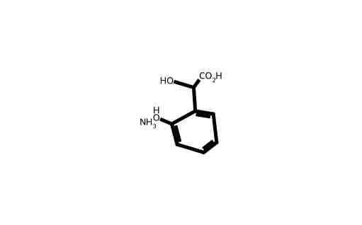 N.O=C(O)C(O)c1ccccc1O